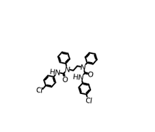 O=C(Nc1ccc(Cl)cc1)N(CCN(C(=O)Nc1ccc(Cl)cc1)c1ccccc1)c1ccccc1